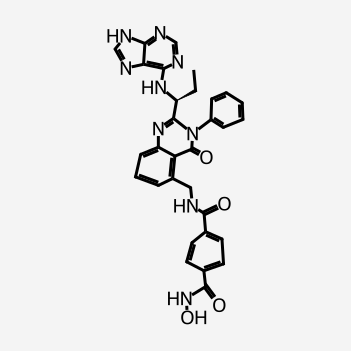 CC[C@H](Nc1ncnc2[nH]cnc12)c1nc2cccc(CNC(=O)c3ccc(C(=O)NO)cc3)c2c(=O)n1-c1ccccc1